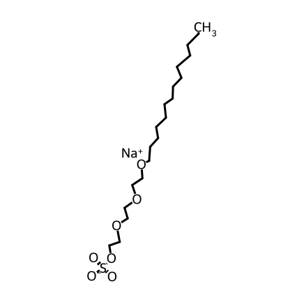 CCCCCCCCCCCCCCOCCOCCOCCOS(=O)(=O)[O-].[Na+]